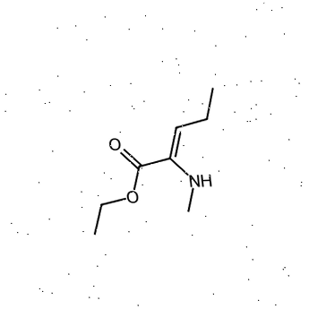 CCC=C(NC)C(=O)OCC